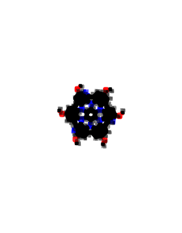 COc1ccc2c(c1)c1cc(OC)ccc1n2-c1c(-n2c3ccccc3c3ncccc32)c(-n2c3ccc(OC)cc3c3cc(OC)ccc32)c(-n2c3ccccc3c3ncccc32)c(-n2c3ccc(OC)cc3c3cc(OC)ccc32)c1-n1c2ccccc2c2ncccc21